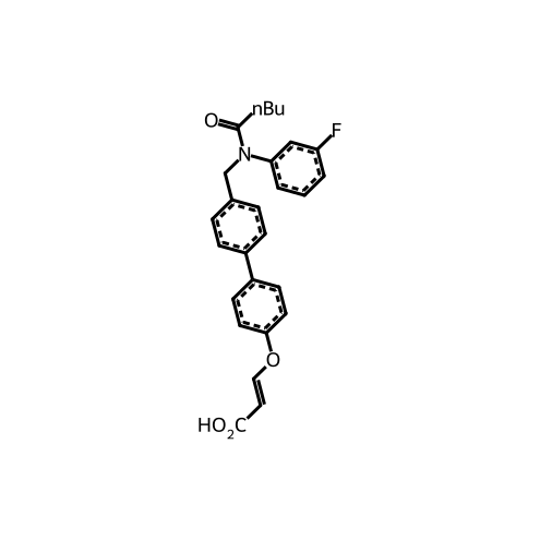 CCCCC(=O)N(Cc1ccc(-c2ccc(OC=CC(=O)O)cc2)cc1)c1cccc(F)c1